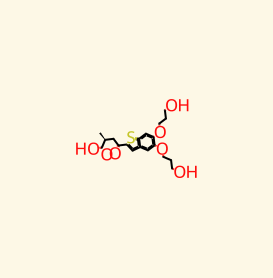 C[C@@H](CC(=O)c1cc2cc(OCCCO)c(OCCCO)cc2s1)C(=O)O